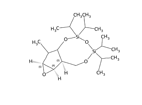 CC1C2O[Si](C(C)C)(C(C)C)O[Si](C(C)C)(C(C)C)OC[C@H]2[C@H]2O[C@@H]12